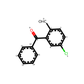 O=[C]c1ccc(Cl)cc1C(=O)c1ccccc1